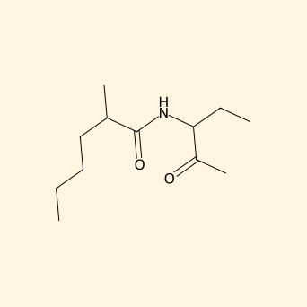 CCCCC(C)C(=O)NC(CC)C(C)=O